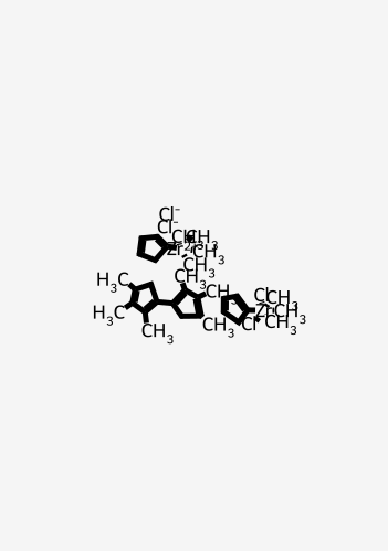 CC1=C(C)C(C)=C(C2=C(C)C(C)=C(C)C2)C1.[CH3][Zr+2]([CH3])([CH3])([CH3])[C]1=CC=CC1.[CH3][Zr]([CH3])([CH3])([Cl])([Cl])[C]1=CC=CC1.[Cl-].[Cl-]